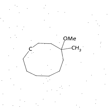 COC1(C)CCCCCCCCC1